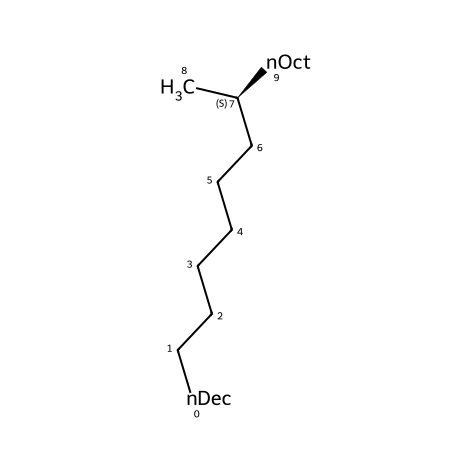 CCCCCCCCCCCCCCCC[C@@H](C)CCCCCCCC